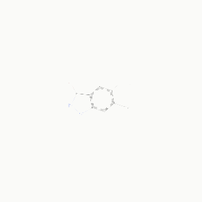 Cc1cc2c(cc1[N+](=O)[O-])NNC2Br